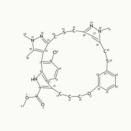 COC(=O)c1[nH]c2c3c(Cl)ccc2c1CCCOc1cccc(c1)SCc1cc(nn1C)CSCc1nn(C)c(C)c1-3